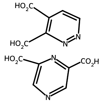 O=C(O)c1ccnnc1C(=O)O.O=C(O)c1cncc(C(=O)O)n1